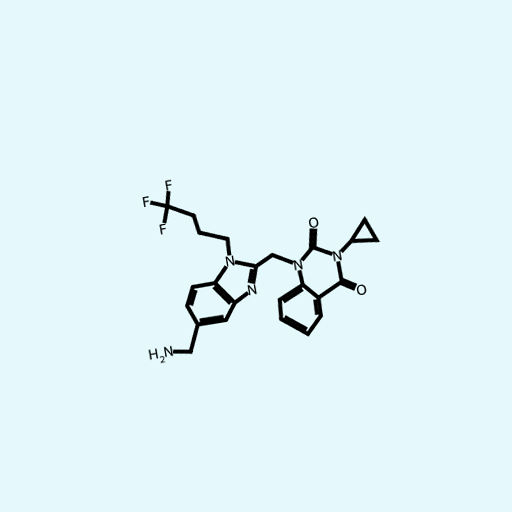 NCc1ccc2c(c1)nc(Cn1c(=O)n(C3CC3)c(=O)c3ccccc31)n2CCCC(F)(F)F